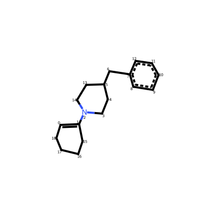 C1=C(N2CCC(Cc3ccccc3)CC2)CCCC1